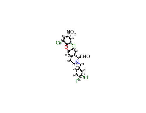 O=CC1c2ccc(Oc3c(Cl)cc([N+](=O)[O-])cc3Cl)cc2CCN1Cc1ccc(F)c(Cl)c1